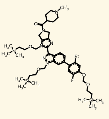 CCc1cc(OCOCC[Si](C)(C)C)c(F)cc1-c1ccc2c(-c3nc4c(n3COCC[Si](C)(C)C)CN(C(=O)C3CCN(C)CC3)C4)nn(COCC[Si](C)(C)C)c2c1